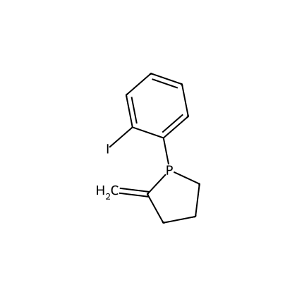 C=C1CCCP1c1ccccc1I